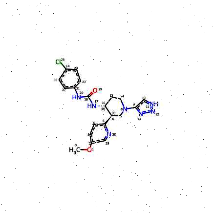 COc1ccc([C@@H]2CN(c3c[nH]nn3)CC[C@H]2NC(=O)Nc2ccc(Cl)cc2)nc1